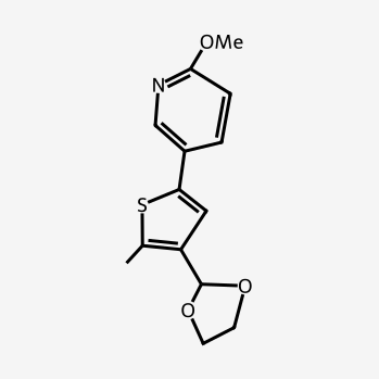 COc1ccc(-c2cc(C3OCCO3)c(C)s2)cn1